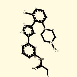 CN1CCN(c2cccc(Cl)c2-c2cc(-c3cccc(NC(=O)CCl)c3)on2)CC1